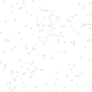 CCOC(=O)CC(C)c1ccc(N(CC(C)C)C2CCCCC2)c(N)c1